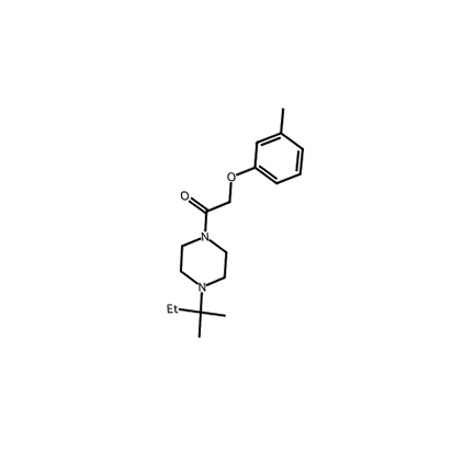 CCC(C)(C)N1CCN(C(=O)COc2cccc(C)c2)CC1